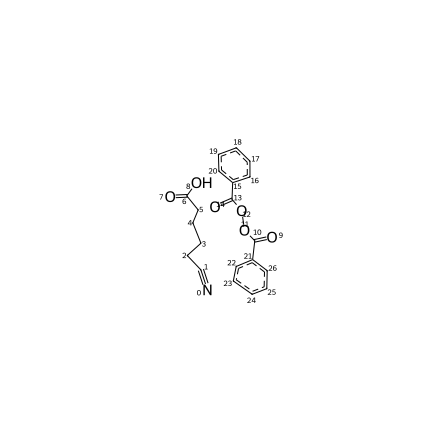 N#CCCCCC(=O)O.O=C(OOC(=O)c1ccccc1)c1ccccc1